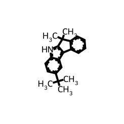 CC(C)(C)c1ccc2[nH]c3c(c2c1)-c1ccccc1C3(C)C